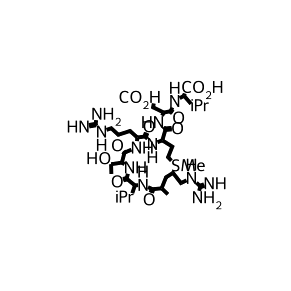 CSCCC(NC(=O)C(CCCNC(=N)N)NC(=O)C(NC(=O)C(NC(=O)C(C)CCCNC(=N)N)C(C)C)C(C)O)C(=O)NC(CC(=O)O)C(=O)NC(C(=O)O)C(C)C